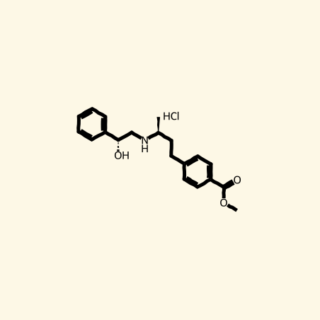 COC(=O)c1ccc(CC[C@H](C)NC[C@H](O)c2ccccc2)cc1.Cl